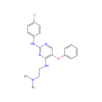 CCN(CC)CCNc1nc(Nc2ccc(Cl)cc2)ncc1Oc1ccccc1